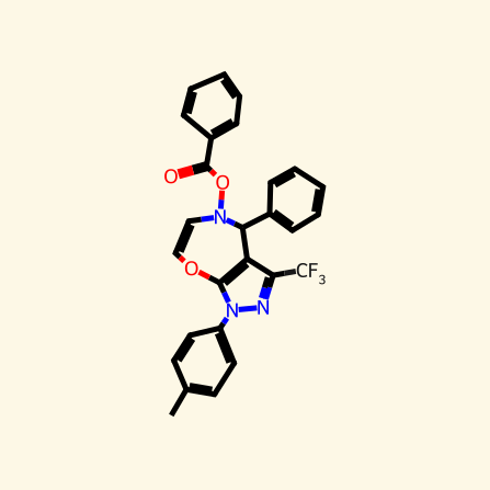 Cc1ccc(-n2nc(C(F)(F)F)c3c2OC=CN(OC(=O)c2ccccc2)C3c2ccccc2)cc1